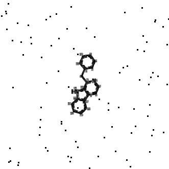 c1ccc(Cc2nccc3c2[nH]c2ccccc23)cc1